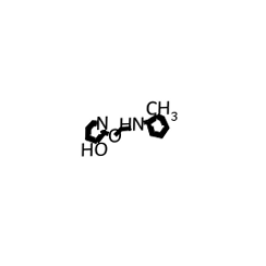 Cc1ccccc1NCCOc1ncccc1O